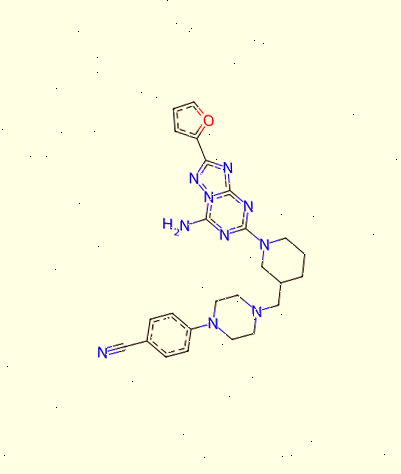 N#Cc1ccc(N2CCN(CC3CCCN(c4nc(N)n5nc(-c6ccco6)nc5n4)C3)CC2)cc1